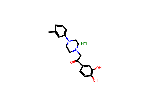 Cc1cccc(N2CCN(CC(=O)c3ccc(O)c(O)c3)CC2)c1.Cl